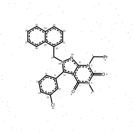 CC(C)Cn1c(=O)n(C)c(=O)c2c(-c3cccc(Cl)c3)n(Cc3cccc4ccccc34)nc21